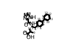 CC(C[C@@H](Cc1ccc(-c2ccccc2)cc1)NC(=O)c1nnn[nH]1)C(=O)O